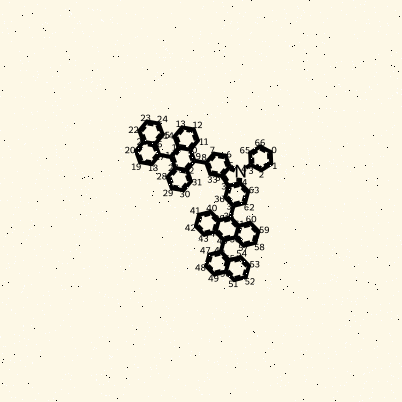 c1ccc(-n2c3ccc(-c4c5ccccc5c(-c5cccc6ccccc56)c5ccccc45)cc3c3cc(-c4c5ccccc5c(-c5cccc6ccccc56)c5ccccc45)ccc32)cc1